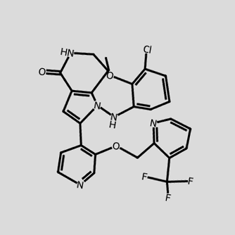 COc1c(Cl)cccc1Nn1c(-c2ccncc2OCc2ncccc2C(F)(F)F)cc2c1CCNC2=O